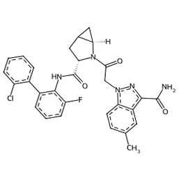 Cc1ccc2c(c1)c(C(N)=O)nn2CC(=O)N1[C@@H]2CC2C[C@H]1C(=O)Nc1c(F)cccc1-c1ccccc1Cl